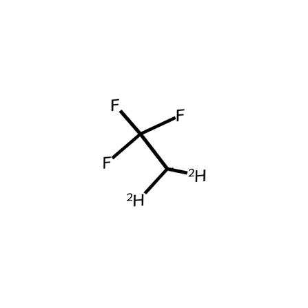 [2H][C]([2H])C(F)(F)F